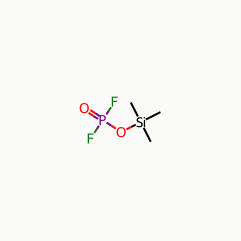 C[Si](C)(C)OP(=O)(F)F